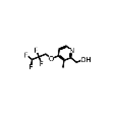 Cc1c(OCC(F)(F)C(F)F)ccnc1CO